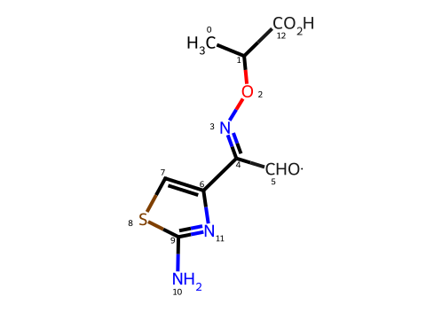 CC(ON=C([C]=O)c1csc(N)n1)C(=O)O